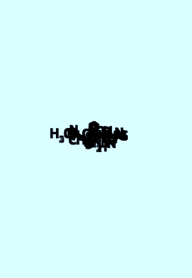 Cc1c(C#Cc2cccc3nc([C@@H](C)NC(=O)c4nc(-c5cscn5)cnc4N)n(-c4ccccc4)c(=O)c23)cnn1C